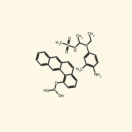 CCN(c1ccc(N)c(C)c1)C(C)NS(C)(=O)=O.OB(O)Oc1cccc2ccc3cc4ccccc4cc3c12